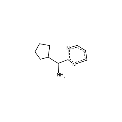 NC(c1ncccn1)C1CCCC1